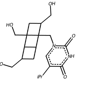 CC(C)c1cn(CC23C4C5C6(CO)C4C2(CO)C6C53CO)c(=O)[nH]c1=O